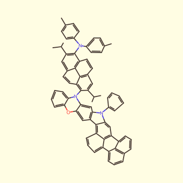 Cc1ccc(N(c2ccc(C)cc2)c2c(C(C)C)cc3ccc4c(-n5c6ccccc6oc6cc7c8c9cccc%10c%11cccc%12cccc(c(cc8n(-c8ccccc8)c7cc65)c%109)c%12%11)c(C(C)C)cc5ccc2c3c54)cc1